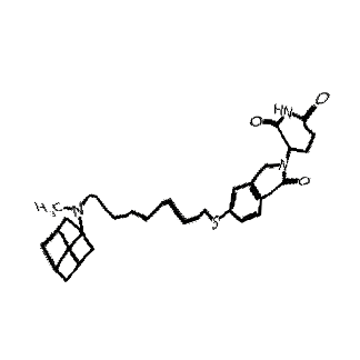 CN(CCCCCCCSc1ccc2c(c1)CN(C1CCC(=O)NC1=O)C2=O)C12CC3CC4CC(C1)C432